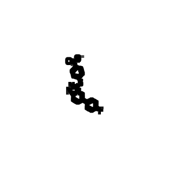 O=[N+]([O-])c1ccc(Sc2nnc3ccc(-c4ccc(F)cc4)cn23)cc1